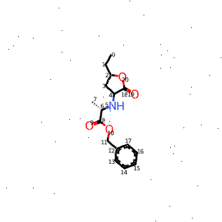 CCC1CC(N[C@@H](C)C(=O)OCc2ccccc2)C(=O)O1